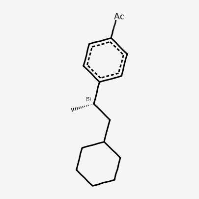 CC(=O)c1ccc([C@@H](C)CC2CCCCC2)cc1